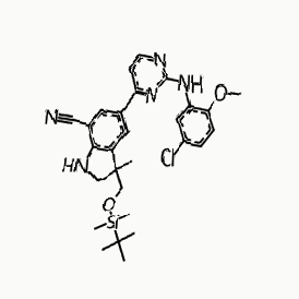 COc1ccc(Cl)cc1Nc1nccc(-c2cc(C#N)c3c(c2)C(C)(CO[Si](C)(C)C(C)(C)C)CN3)n1